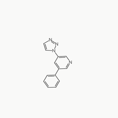 c1ccc(-c2cncc(-n3ccnn3)c2)cc1